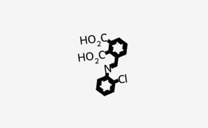 O=C(O)c1cccc(C=Nc2ccccc2Cl)c1C(=O)O